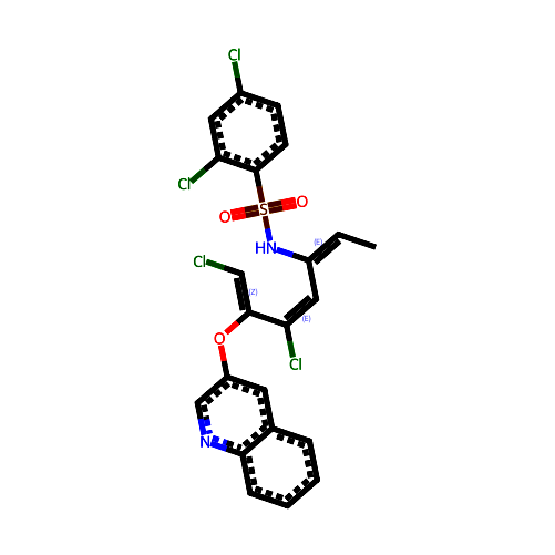 C\C=C(/C=C(Cl)\C(=C\Cl)Oc1cnc2ccccc2c1)NS(=O)(=O)c1ccc(Cl)cc1Cl